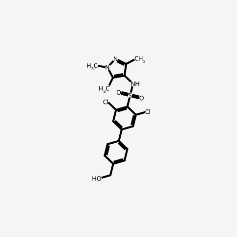 Cc1nn(C)c(C)c1NS(=O)(=O)c1c(Cl)cc(-c2ccc(CO)cc2)cc1Cl